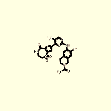 CCc1cc2c(cc1Nc1ncc(C(F)(F)F)c(-c3cc4c(s3)C(=O)NCCS4(=O)=O)n1)CCN(C(=O)C(F)(F)F)C2